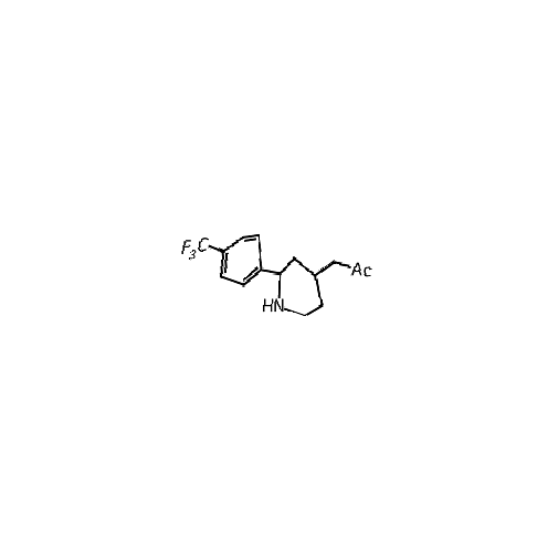 CC(=O)CC1CCNC(c2ccc(C(F)(F)F)cc2)C1